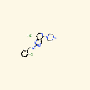 Cl.Clc1ccccc1CNc1ncc2c(N3CCNCC3)nccc2n1